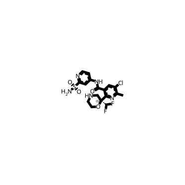 Cc1nc([C@]2(C(F)F)CNCCO2)c(C(=O)Nc2ccnc(S(N)(=O)=O)c2)cc1Cl